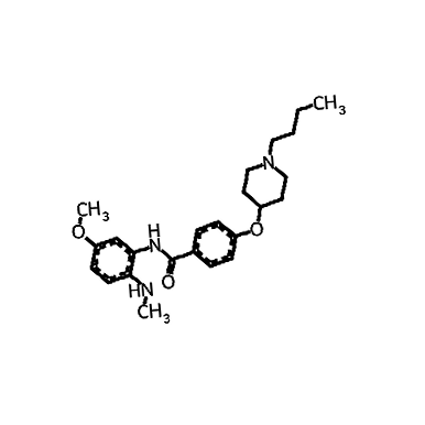 CCCCN1CCC(Oc2ccc(C(=O)Nc3cc(OC)ccc3NC)cc2)CC1